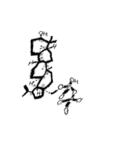 C=C(C)[C@@H]1CC[C@]2(COP(=O)(O)OP(=O)(Cl)Cl)CC[C@]3(C)[C@H](CC[C@@H]4[C@@]5(C)CC[C@H](O)C(C)(C)[C@@H]5CC[C@]43C)[C@@H]12